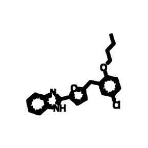 CCCCOc1ccc(Cl)cc1Cc1ccc(-c2nc3ccccc3[nH]2)o1